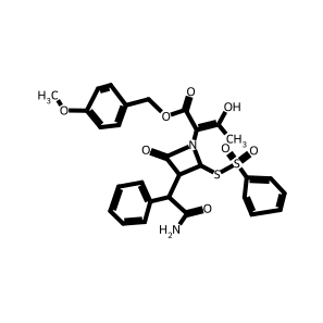 COc1ccc(COC(=O)C(=C(C)O)N2C(=O)C(C(C(N)=O)c3ccccc3)C2SS(=O)(=O)c2ccccc2)cc1